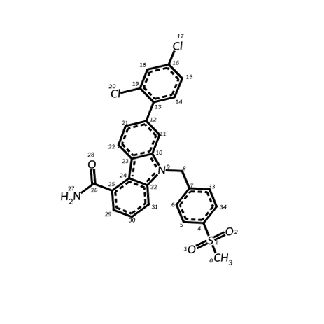 CS(=O)(=O)c1ccc(Cn2c3cc(-c4ccc(Cl)cc4Cl)c[c]c3c3c(C(N)=O)cccc32)cc1